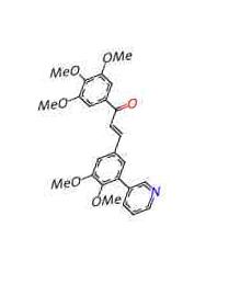 COc1cc(C(=O)/C=C/c2cc(OC)c(OC)c(-c3cccnc3)c2)cc(OC)c1OC